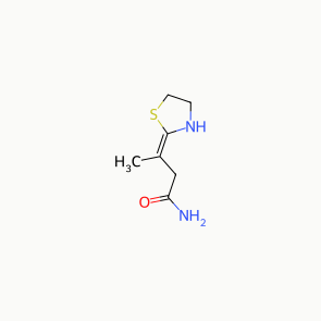 CC(CC(N)=O)=C1NCCS1